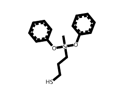 C[Si](CCCS)(Oc1ccccc1)Oc1ccccc1